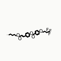 [CH2]CCCCOC(=O)/C=C/c1ccc(OC(=O)c2ccc(OCCCC(F)(F)F)cc2)cc1